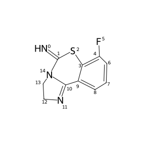 N=C1Sc2c(F)cccc2C2=NCCN12